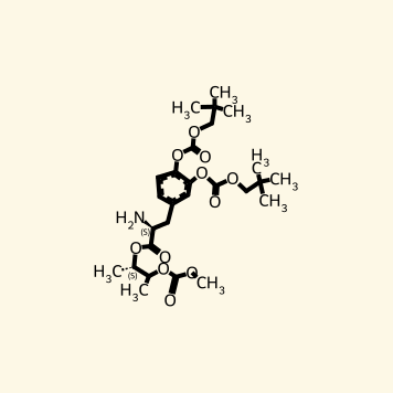 COC(=O)OC(C)[C@H](C)OC(=O)[C@@H](N)Cc1ccc(OC(=O)OCC(C)(C)C)c(OC(=O)OCC(C)(C)C)c1